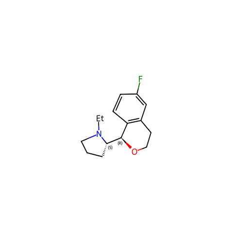 CCN1CCC[C@H]1[C@@H]1OCCc2cc(F)ccc21